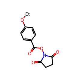 CCOc1ccc(C(=O)ON2C(=O)CCC2=O)cc1